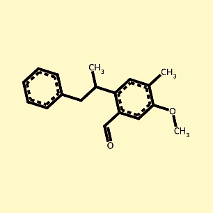 COc1cc(C=O)c(C(C)Cc2ccccc2)cc1C